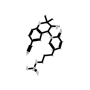 CC1(C)Oc2ccc(C#N)cc2C(n2cc(CCCO[N+](=O)[O-])ccc2=O)C1O